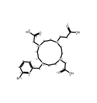 O=C(O)CCN1CCN(CC(=O)O)CCN(Cc2cccc(Br)n2)CCN(CC(=O)O)CC1